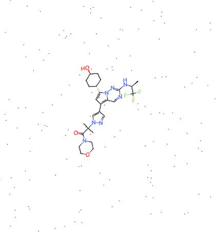 C[C@H](Nc1ncc2c(-c3cnn(C(C)(C)C(=O)N4CCOCC4)c3)cc([C@H]3CC[C@H](O)CC3)n2n1)C(F)(F)F